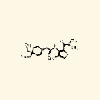 Cc1csc(C(=O)N(C)C)c1NC(=O)CN1CCC(CO)(CO)CC1